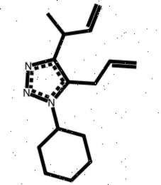 C=CCc1c(C(C)C=C)nnn1C1CCCCC1